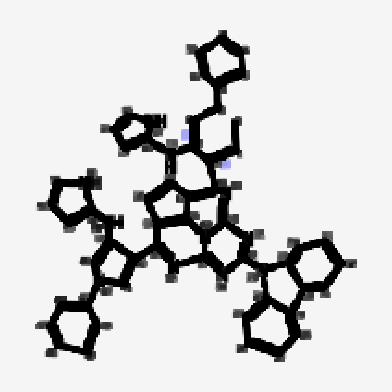 C/C=C(\C(=C/Cc1ccccc1)Nc1ccc[nH]1)c1nc2nc(-n3c4ccccc4c4ccccc43)nc3nc(-c4cn(-c5ccccc5)cc4Nc4ccc[nH]4)c4ccc1c4n23